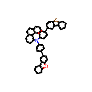 c1ccc2c(c1)ccc1cccc(N(c3ccc(-c4ccc5oc6ccccc6c5c4)cc3)c3ccc(-c4ccc5sc6ccccc6c5c4)cc3)c12